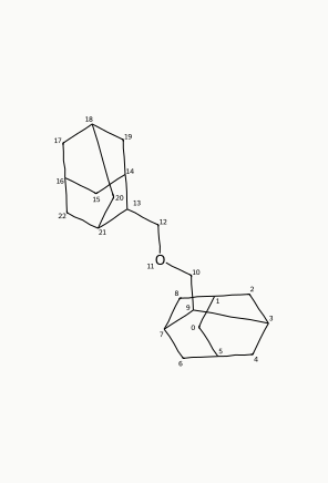 C1C2CC3CC1CC(C2)C3COCC1C2CC3CC(C2)CC1C3